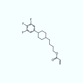 C=CC(=O)OCCCCC1CCC(c2cc(F)c(F)c(F)c2)CC1